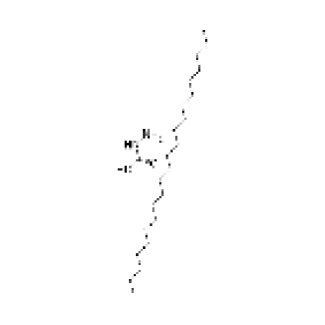 CCCCCCCCCCCCCCCCCCCCCC.NNC(=O)O